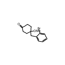 COC1(Cc2ccccc2Br)CCC(=O)CC1